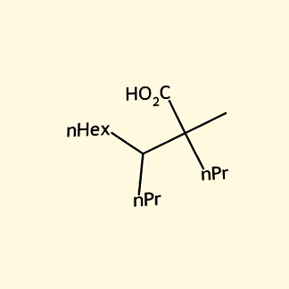 CCCCCCC(CCC)C(C)(CCC)C(=O)O